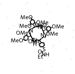 CCNC(=O)Sc1ccc(-c2c3nc(c(-c4c(OC)cc(OC)cc4OC)c4ccc([nH]4)c(-c4c(OC)cc(OC)cc4OC)c4nc(c(-c5c(OC)cc(OC)cc5OC)c5ccc2[nH]5)C=C4)C=C3)cc1